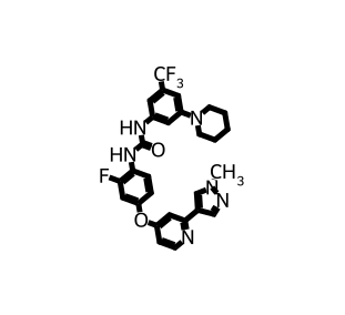 Cn1cc(-c2cc(Oc3ccc(NC(=O)Nc4cc(N5CCCCC5)cc(C(F)(F)F)c4)c(F)c3)ccn2)cn1